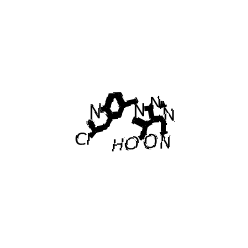 N#Cc1ncnc2c1c(C(=O)O)cn2Cc1ccc2ncc(Cl)cc2c1